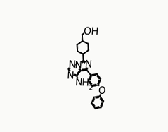 Nc1ncnn2c(C3CCC(CO)CC3)nc(-c3ccc(Oc4ccccc4)cc3)c12